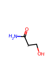 NC(=O)[C]CO